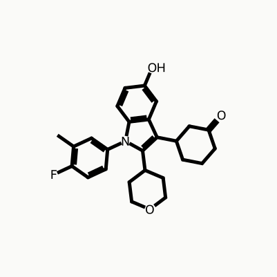 Cc1cc(-n2c(C3CCOCC3)c(C3CCCC(=O)C3)c3cc(O)ccc32)ccc1F